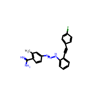 Cc1cc(/N=N/Nc2ccccc2C#Cc2ccc(F)cc2)ccc1C(=N)N